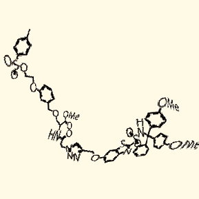 COC(=O)C(COCc1cccc(OCCOS(=O)(=O)c2ccc(C)cc2)c1)NC(=O)Cn1cc(COc2ccc3nc(S(=O)(=O)NC(c4ccccc4)(c4ccc(OC)cc4)c4ccc(OC)cc4)sc3c2)nn1